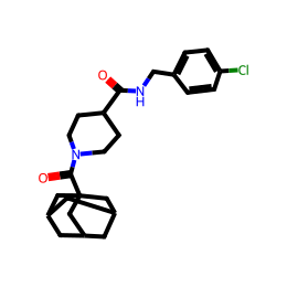 O=C(NCc1ccc(Cl)cc1)C1CCN(C(=O)C23CC4CC(CC(C4)C2)C3)CC1